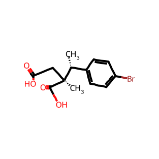 C[C@H](c1ccc(Br)cc1)[C@](C)(CC(=O)O)C(=O)O